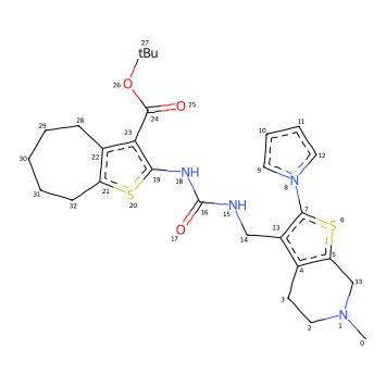 CN1CCc2c(sc(-n3cccc3)c2CNC(=O)Nc2sc3c(c2C(=O)OC(C)(C)C)CCCCC3)C1